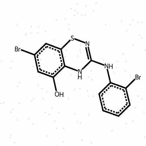 Oc1cc(Br)cc2c1NC(Nc1ccccc1Br)=NS2